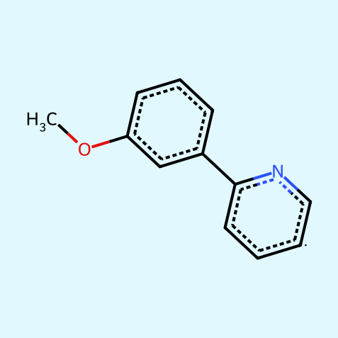 COc1cccc(-c2cc[c]cn2)c1